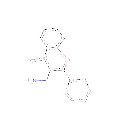 NCc1c(-c2ccccc2)oc2ccccc2c1=O